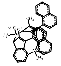 CC1=C(c2cccc3ccccc23)c2c3cccc2[Si](C)(C)c2cccc4c2C(c2cccc5ccccc25)=C(C)[CH]4[Zr]([CH3])([CH3])[CH]13